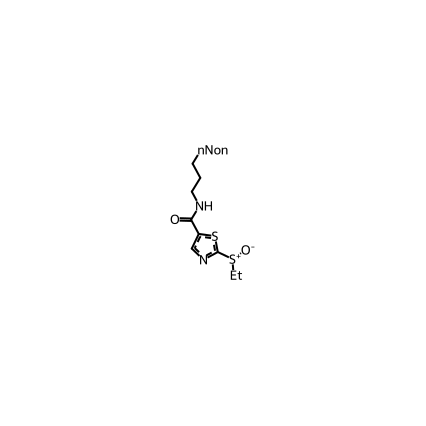 CCCCCCCCCCCCNC(=O)c1cnc([S+]([O-])CC)s1